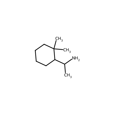 CC(N)C1CCCCC1(C)C